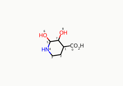 O=C(O)C1CCNC(O)C1O